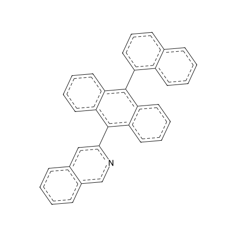 c1ccc2cc(-c3c4ccccc4c(-c4cccc5ccccc45)c4ccccc34)ncc2c1